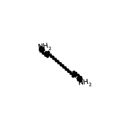 Cc1cc(Cc2ccc(N)cc2)cc(C)c1CCCCCCCCCCCCCCCCCCc1c(C)cc(Cc2ccc(N)cc2)cc1C